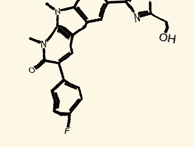 Cn1c(=O)c(-c2ccc(F)cc2)cc2c3cc(-c4csc(CO)n4)ccc3n(C)c21